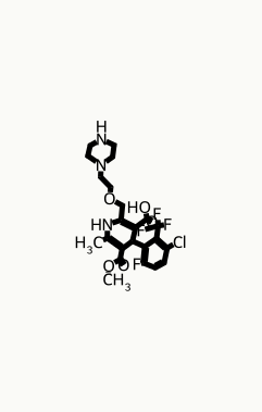 COC(=O)C1=C(C)NC(COCCN2CCNCC2)=C(C(=O)O)C1c1c(F)ccc(Cl)c1C(F)(F)F